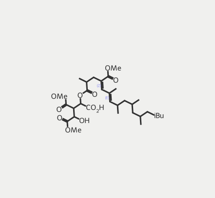 CCC(C)CC(C)CC(C)CC(C)/C=C(C)/C=C(/CC(C)C(=O)OC(C(=O)O)C(C(=O)OC)C(O)C(=O)OC)C(=O)OC